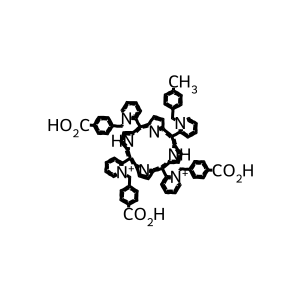 Cc1ccc(C[n+]2ccccc2-c2c3nc(c(-c4cccc[n+]4Cc4ccc(C(=O)O)cc4)c4ccc([nH]4)c(-c4cccc[n+]4Cc4ccc(C(=O)O)cc4)c4nc(c(-c5cccc[n+]5Cc5ccc(C(=O)O)cc5)c5ccc2[nH]5)C=C4)C=C3)cc1